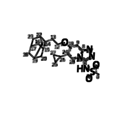 CS(=O)(=O)Nc1nnc2cc(OCCC3C4CC5CC(C4)CC3C5)c(C3CC3)cn12